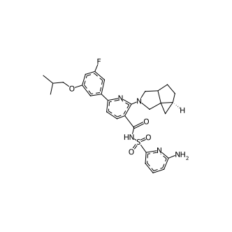 CC(C)COc1cc(F)cc(-c2ccc(C(=O)NS(=O)(=O)c3cccc(N)n3)c(N3CC4CC[C@H]5CC45C3)n2)c1